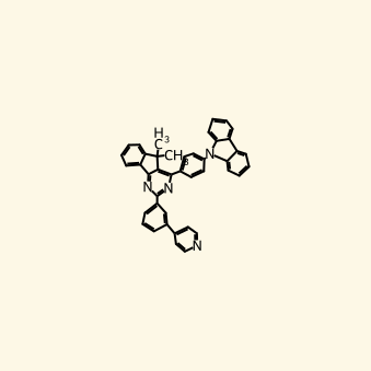 CC1(C)c2ccccc2-c2nc(-c3cccc(-c4ccncc4)c3)nc(-c3ccc(-n4c5ccccc5c5ccccc54)cc3)c21